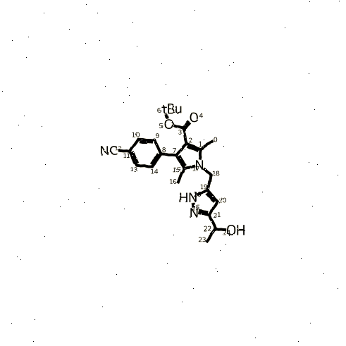 Cc1c(C(=O)OC(C)(C)C)c(-c2ccc(C#N)cc2)c(C)n1Cc1cc(C(C)O)n[nH]1